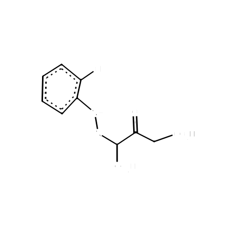 O=C(O)CC(=O)C(NNc1ccccc1Cl)C(=O)O